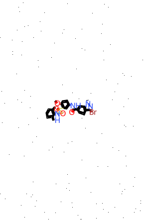 COc1ccc(NC(=O)c2ccc3c(Br)nn(C)c3c2)cc1S(=O)(=O)Nc1c(C)cccc1C